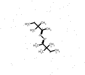 CCC(C)(C)/C(C)=N/N=C(\C)C(C)(C)CC